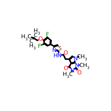 Cn1c(=O)c2c(CC(=O)Nc3nc(-c4cc(F)c(OCC(C)(C)C)c(F)c4)cs3)cn(C)c2n(C)c1=O